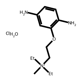 CC[N+](C)(CC)CCOc1cc(N)ccc1N.O.[Cl-]